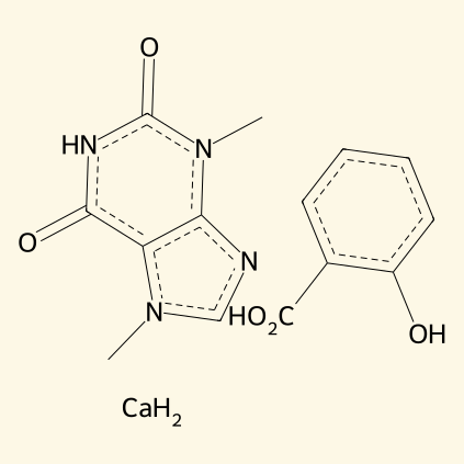 Cn1cnc2c1c(=O)[nH]c(=O)n2C.O=C(O)c1ccccc1O.[CaH2]